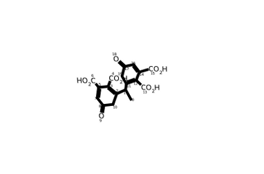 CC(C1=C(C(=O)O)C(C(=O)O)=CC(=O)C1)C1=C(C(=O)O)C(C(=O)O)=CC(=O)C1